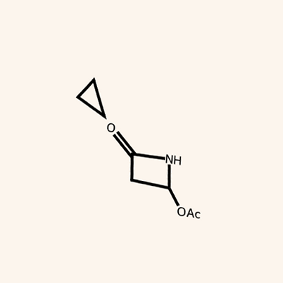 C1CC1.CC(=O)OC1CC(=O)N1